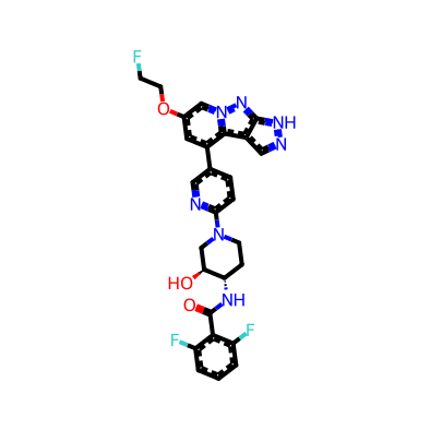 O=C(N[C@H]1CCN(c2ccc(-c3cc(OCCF)cn4nc5[nH]ncc5c34)cn2)C[C@@H]1O)c1c(F)cccc1F